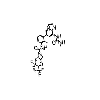 CNC(=O)Nc1cc(-c2cccc(NC(=O)N3CC(OC(C(F)(F)F)C(F)(F)F)C3)c2C)cn2ccnc12